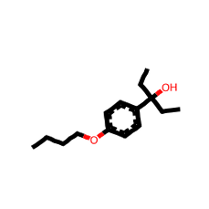 CCCCOc1ccc(C(O)(CC)CC)cc1